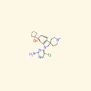 CN1CCC2(CC1)CN(c1nc(N)ncc1Cl)c1cc(C3(O)CCCC3)ccc12